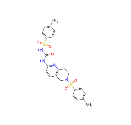 Cc1ccc(S(=O)(=O)NC(=O)Nc2ccc3c(n2)CCN(S(=O)(=O)c2ccc(C)cc2)C3)cc1